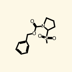 CS(=O)(=O)C1CCCN1C(=O)OCc1ccccc1